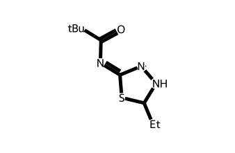 CCC1N[N]C(=NC(=O)C(C)(C)C)S1